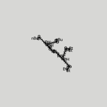 CCCCOC(=O)CCCCCCC(O)CN(CCCC(=O)OCCN1CCN(CCSSCCCCN(CC(O)CCCCCCC(=O)OCC(CC)CC)CC(O)CCCCCCC(=O)OCC(CC)CC)CC1)CC(O)CCCCCCC(=O)OCCCC